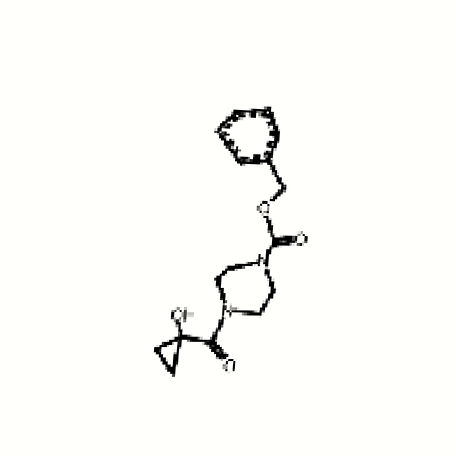 O=C(OCc1ccccc1)N1CCN(C(=O)C2(O)CC2)CC1